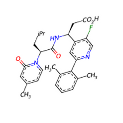 Cc1ccn([C@@H](CC(C)C)C(=O)N[C@@H](CC(=O)O)c2cc(-c3c(C)cccc3C)ncc2F)c(=O)c1